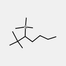 CCCCC(C(C)(C)C)[Si](C)(C)C